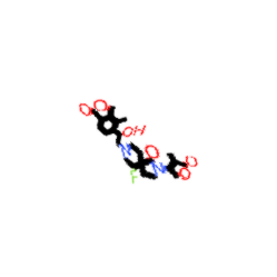 CC1=C(N2CCC3(CCN(C[C@H](O)c4ccc5c(c4C)COC5=O)CC3F)C2=O)COC1=O